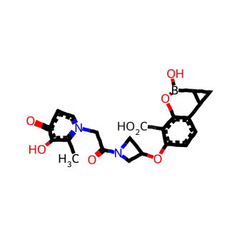 Cc1c(O)c(=O)ccn1CC(=O)N1CC(Oc2ccc3c(c2C(=O)O)OB(O)C2CC32)C1